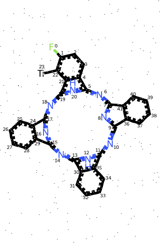 Fc1ccc2c3nc4nc(nc5[nH]c(nc6nc(nc([nH]3)c2[c]1[Ti])-c1ccccc1-6)c1ccccc51)-c1ccccc1-4